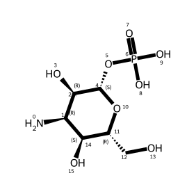 N[C@H]1[C@@H](O)[C@H](OP(=O)(O)O)O[C@H](CO)[C@H]1O